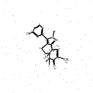 Cn1nc2c(c1-c1cccc(Cl)c1)CC[C@H]1C(C)(C)C(=O)C(C#N)=C[C@]21C